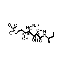 CCC(C)NC(=O)[C@H](O)[C@@H](O)[C@H](O)[C@H](O)COS(=O)(=O)[O-].[Na+]